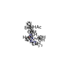 C/C=C\C(C)/N=C(\C(CCCCC(O)O)=N/C(C)/C=C(\C)C(=O)N(CC)CCC(CC)(NC(C)=O)c1ccccc1)c1ccccc1